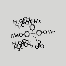 COc1ccc(C(CCCOB([O-])[O-])(c2ccc(OC)cc2)c2ccc(OC)cc2)cc1.C[N+](C)(C)C.C[N+](C)(C)C